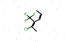 C/C=C\C(=C(/C)Cl)C(F)(F)F